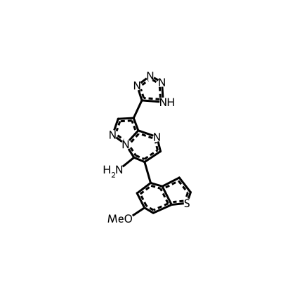 COc1cc(-c2cnc3c(-c4nnn[nH]4)cnn3c2N)c2ccsc2c1